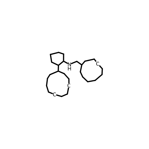 C1CCCCC(CNC2CCCCC2C2CCCCCCCCCC2)CCCC1